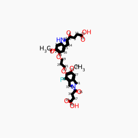 COc1cc2[nH]c(C(=O)CCC(=O)O)cc2cc1OCCCOc1c(OC)cc2c(c1F)CN(C(=O)CCC(=O)O)C2